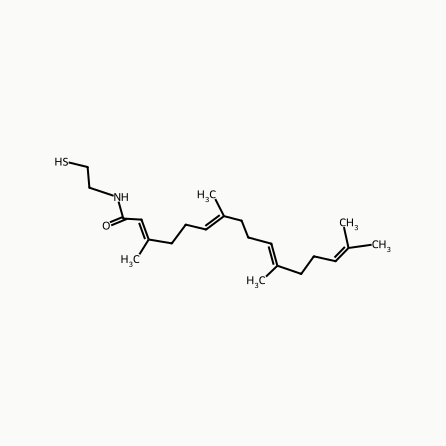 CC(C)=CCCC(C)=CCCC(C)=CCCC(C)=CC(=O)NCCS